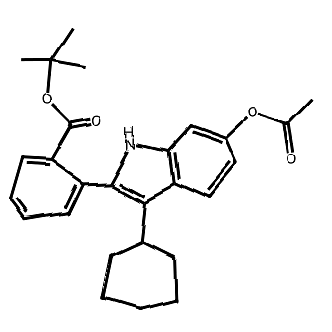 CC(=O)Oc1ccc2c(C3CCCCC3)c(-c3ccccc3C(=O)OC(C)(C)C)[nH]c2c1